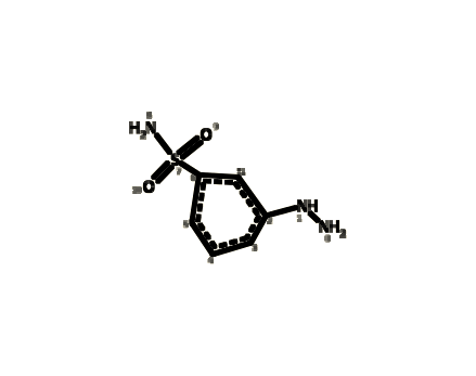 NNc1cccc(S(N)(=O)=O)c1